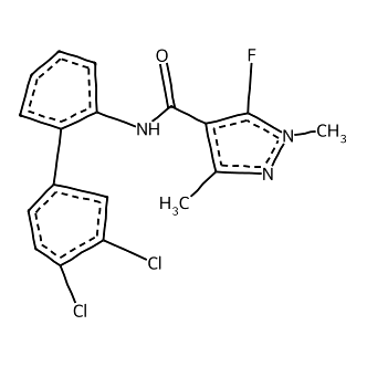 Cc1nn(C)c(F)c1C(=O)Nc1ccccc1-c1ccc(Cl)c(Cl)c1